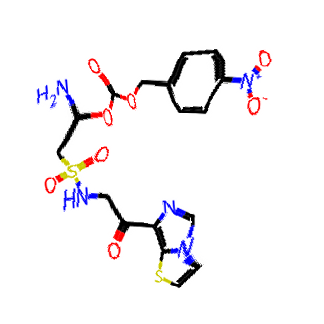 NC(CS(=O)(=O)NCC(=O)c1ncn2ccsc12)OC(=O)OCc1ccc([N+](=O)[O-])cc1